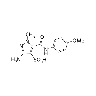 COc1ccc(NC(=O)c2c(S(=O)(=O)O)c(N)nn2C)cc1